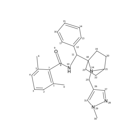 Cc1cccc(C)c1C(=O)NC(c1ccccc1)C12CCC(CC1)N2Cc1cnn(C)c1